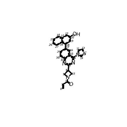 C=CC(=O)N1CC(c2nc(-n3ccnc3)c3cc(-c4cc(O)cc5ccccc45)ccc3n2)C1